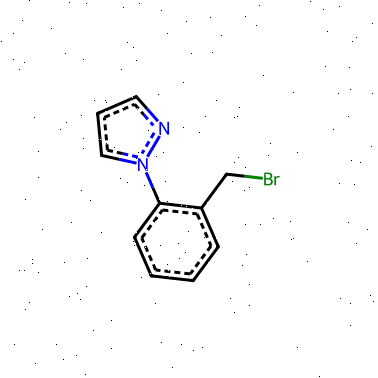 BrCc1ccccc1-n1cccn1